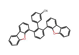 N#Cc1cccc(-c2c(-c3cccc4c3oc3ccccc34)cccc2-c2cccc3c2oc2ccccc23)c1